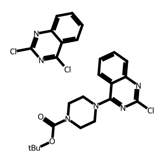 CC(C)(C)OC(=O)N1CCN(c2nc(Cl)nc3ccccc23)CC1.Clc1nc(Cl)c2ccccc2n1